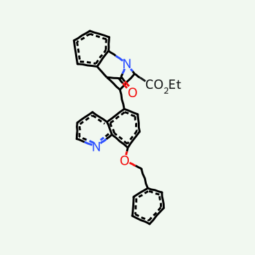 CCOC(=O)C1C(c2ccc(OCc3ccccc3)c3ncccc23)C2C(=O)N1c1ccccc12